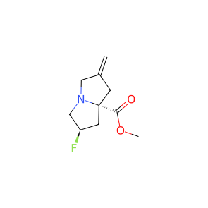 C=C1CN2C[C@H](F)C[C@]2(C(=O)OC)C1